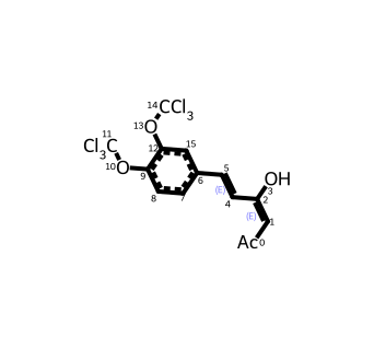 CC(=O)/C=C(O)\C=C\c1ccc(OC(Cl)(Cl)Cl)c(OC(Cl)(Cl)Cl)c1